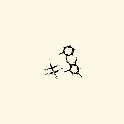 Cc1cc(C)c([I+]c2ccccc2C)c(C)c1.O=S(=O)([O-])C(F)(F)F